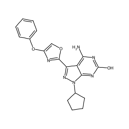 Nc1nc(O)nc2c1c(-c1nc(Oc3ccccc3)co1)nn2C1CCCC1